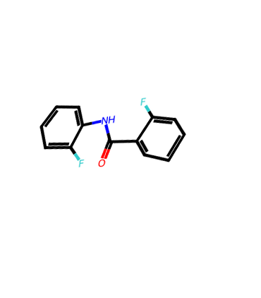 O=C(Nc1ccccc1F)c1ccccc1F